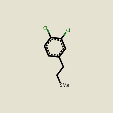 CSCCc1ccc(Cl)c(Cl)c1